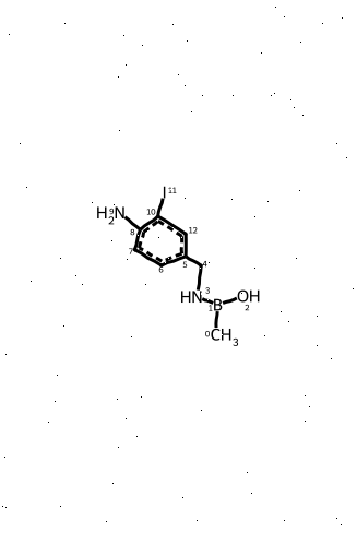 CB(O)NCc1ccc(N)c(I)c1